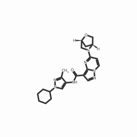 Cc1nn(C2CCCCC2)cc1NC(=O)c1cnn2ccc(N3C[C@H]4C[C@@H]3CO4)nc12